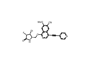 CC[C@@H]1[C@H](F)C(=O)N[C@@H]1COc1ncc(C#Cc2ccncc2)c2cc(C#N)c(OC)cc12